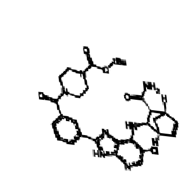 CC(C)(C)OC(=O)N1CCN(C(=O)c2cccc(-c3nc4c(N[C@H]5[C@H](C(N)=O)[C@@H]6C=C[C@@H]5C6)c(Cl)cnc4[nH]3)c2)CC1